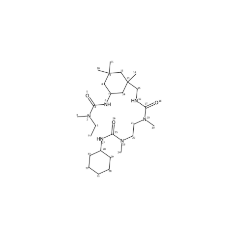 CCN(C)C(=O)NC1CC(C)(C)CC(C)(CNC(=O)N(C)CCN(C)C(=O)NC2CCCCC2)C1